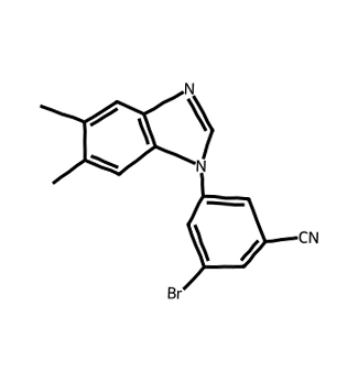 Cc1cc2ncn(-c3cc(Br)cc(C#N)c3)c2cc1C